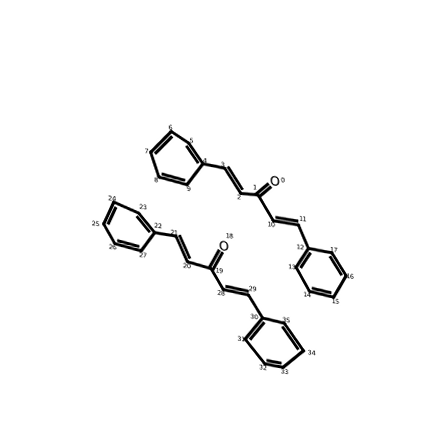 O=C(C=Cc1ccccc1)C=Cc1ccccc1.O=C(C=Cc1ccccc1)C=Cc1ccccc1